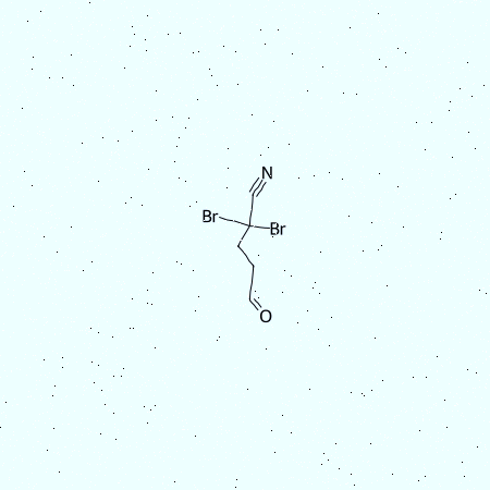 N#CC(Br)(Br)CCC=O